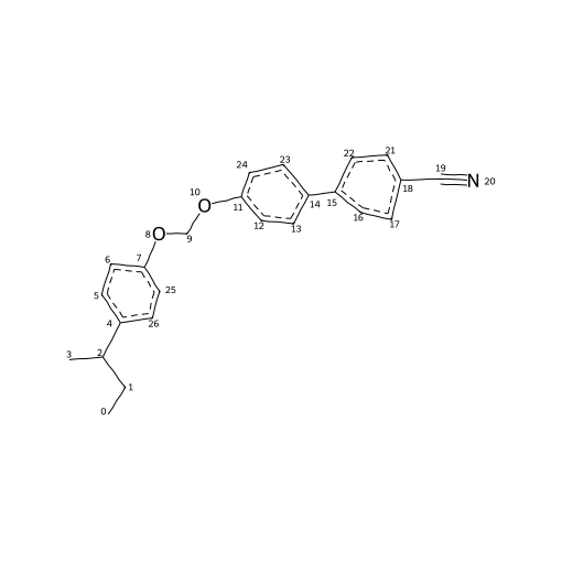 CCC(C)c1ccc(OCOc2ccc(-c3ccc(C#N)cc3)cc2)cc1